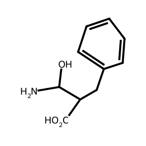 NC(O)C(Cc1ccccc1)C(=O)O